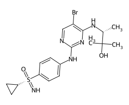 C[C@@H](Nc1nc(Nc2ccc([S@@](=N)(=O)C3CC3)cc2)ncc1Br)C(C)(C)O